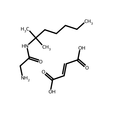 CCCCCC(C)(C)NC(=O)CN.O=C(O)C=CC(=O)O